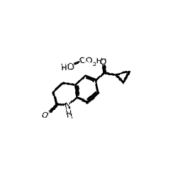 O=C(O)O.O=C1CCc2cc(C(=O)C3CC3)ccc2N1